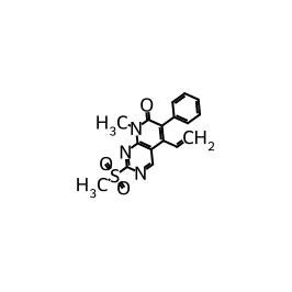 C=Cc1c(-c2ccccc2)c(=O)n(C)c2nc(S(C)(=O)=O)ncc12